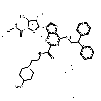 CCNC(=O)[C@H]1O[C@@H](n2cnc3c(NCC(c4ccccc4)c4ccccc4)nc(C(=O)NCCN4CCC(OC)CC4)nc32)[C@@H](O)[C@@H]1O